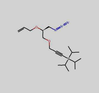 C=CCO[C@@H](CN=[N+]=[N-])COCC#C[Si](C(C)C)(C(C)C)C(C)C